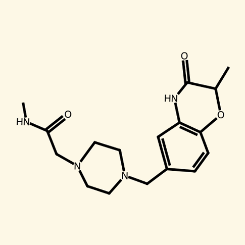 CNC(=O)CN1CCN(Cc2ccc3c(c2)NC(=O)C(C)O3)CC1